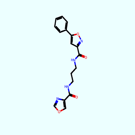 O=C(NCCCNC(=O)c1cc(-c2ccccc2)on1)c1cocn1